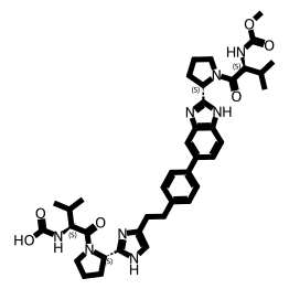 COC(=O)N[C@H](C(=O)N1CCC[C@H]1c1nc2cc(-c3ccc(CCc4c[nH]c([C@@H]5CCCN5C(=O)[C@@H](NC(=O)O)C(C)C)n4)cc3)ccc2[nH]1)C(C)C